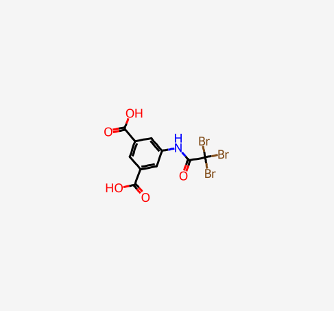 O=C(O)c1cc(NC(=O)C(Br)(Br)Br)cc(C(=O)O)c1